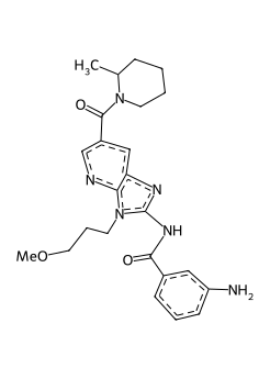 COCCCn1c(NC(=O)c2cccc(N)c2)nc2cc(C(=O)N3CCCCC3C)cnc21